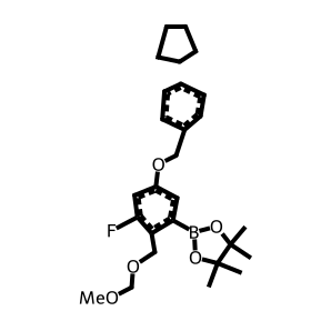 C1CCCC1.COCOCc1c(F)cc(OCc2ccccc2)cc1B1OC(C)(C)C(C)(C)O1